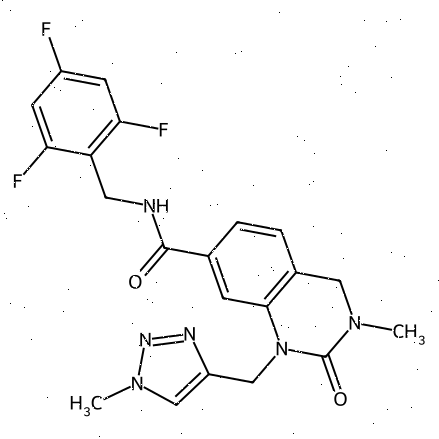 CN1Cc2ccc(C(=O)NCc3c(F)cc(F)cc3F)cc2N(Cc2cn(C)nn2)C1=O